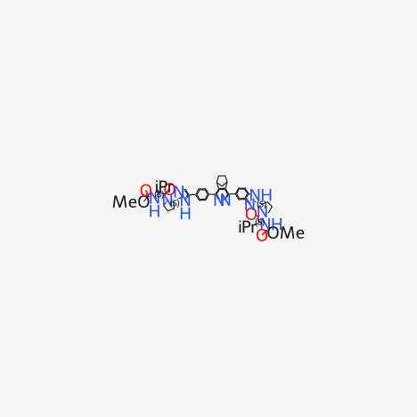 COC(=O)N[C@H](C(=O)N1CCC[C@H]1c1ncc(-c2ccc(-c3nnc(-c4ccc5[nH]c([C@@H]6CCCN6C(=O)[C@@H](NC(=O)OC)C(C)C)nc5c4)c4c3C3CCC4C3)cc2)[nH]1)C(C)C